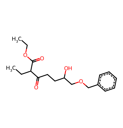 CCOC(=O)C(CC)C(=O)CCC(O)COCc1ccccc1